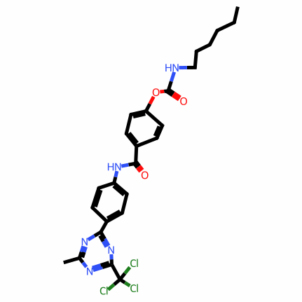 CCCCCCNC(=O)Oc1ccc(C(=O)Nc2ccc(-c3nc(C)nc(C(Cl)(Cl)Cl)n3)cc2)cc1